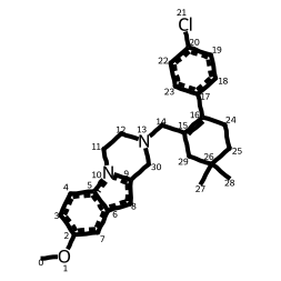 COc1ccc2c(c1)cc1n2CCN(CC2=C(c3ccc(Cl)cc3)CCC(C)(C)C2)C1